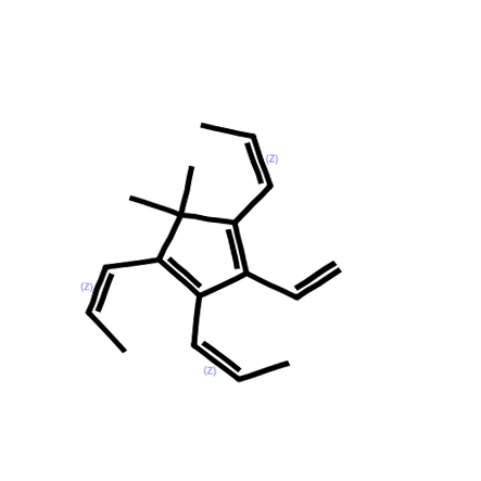 C=CC1=C(/C=C\C)C(C)(C)C(/C=C\C)=C1/C=C\C